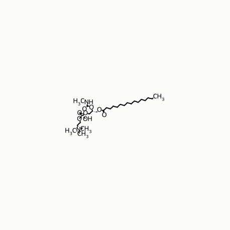 CCCCCCCCCCCCCCCC(=O)OC[C@H](COP(=O)(O)OCC[N+](C)(C)C)OC(=O)NC